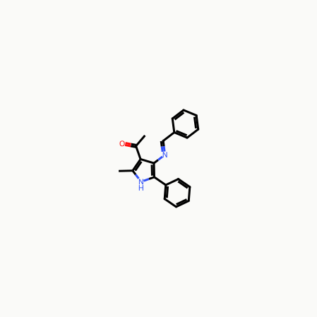 CC(=O)c1c(C)[nH]c(-c2ccccc2)c1N=Cc1ccccc1